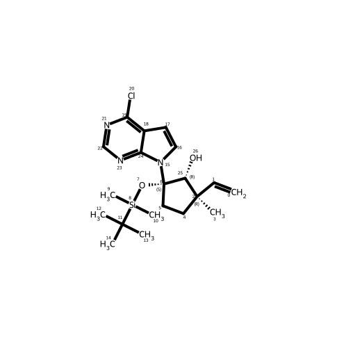 C=C[C@@]1(C)CC[C@@](O[Si](C)(C)C(C)(C)C)(n2ccc3c(Cl)ncnc32)[C@@H]1O